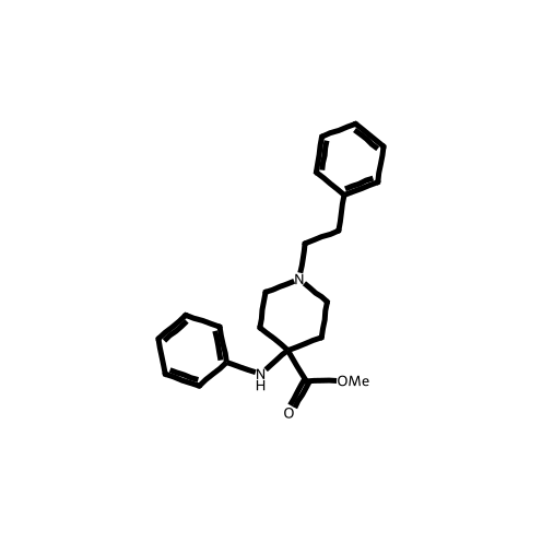 COC(=O)C1(Nc2ccccc2)CCN(CCc2ccccc2)CC1